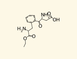 CCOC(=O)C(N)Cc1ccccc1C(=O)C(N)CC(=O)O